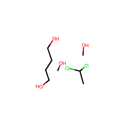 CC(Cl)Cl.CO.CO.OCCCCO